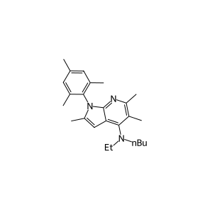 CCCCN(CC)c1c(C)c(C)nc2c1cc(C)n2-c1c(C)cc(C)cc1C